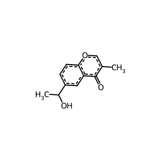 Cc1coc2ccc(C(C)O)cc2c1=O